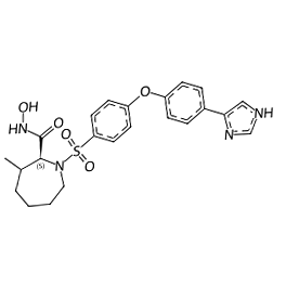 CC1CCCCN(S(=O)(=O)c2ccc(Oc3ccc(-c4c[nH]cn4)cc3)cc2)[C@@H]1C(=O)NO